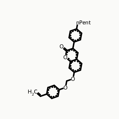 C=Cc1ccc(OCOc2ccc3cc(-c4ccc(CCCCC)cc4)c(=O)oc3c2)cc1